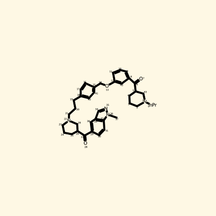 CCCN1CCCC(C(=O)c2cccc(OCc3ccc(CCCN4CCCC(C(=O)c5ccc6c(cnn6C)c5)C4)cc3)c2)C1